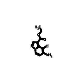 CCOC(=O)c1cnn2ccc(N)c(Cl)c12